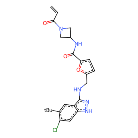 C=CC(=O)N1CC(NC(=O)c2ccc(CNc3n[nH]c4cc(Cl)c(C(C)(C)C)cc34)o2)C1